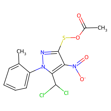 CC(=O)OSc1nn(-c2ccccc2C)c(C(Cl)Cl)c1[N+](=O)[O-]